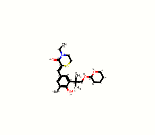 CC(C)(C)c1cc(C=C2SCCN(CC#N)C2=O)cc(C(C)(C)COC2CCCCO2)c1O